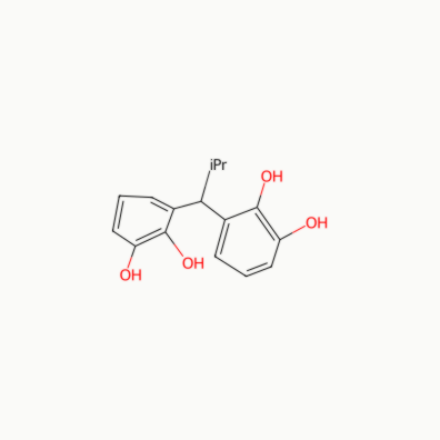 CC(C)C(c1cccc(O)c1O)c1cccc(O)c1O